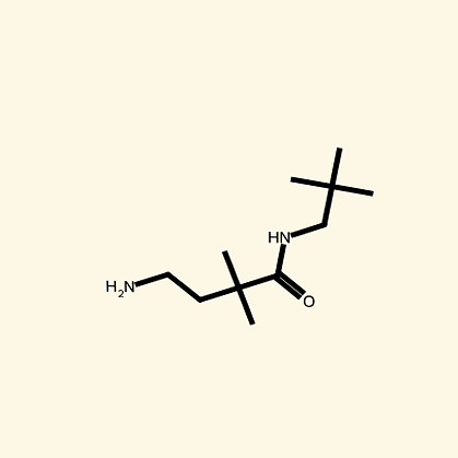 CC(C)(C)CNC(=O)C(C)(C)CCN